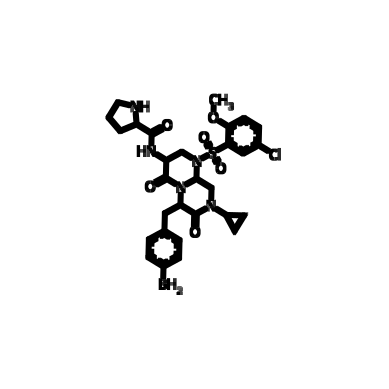 Bc1ccc(CC2C(=O)N(C3CC3)CC3N2C(=O)C(NC(=O)C2CCCN2)CN3S(=O)(=O)c2cc(Cl)ccc2OC)cc1